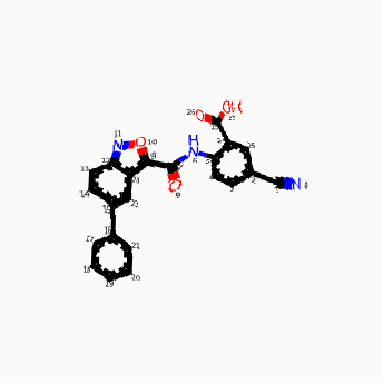 N#Cc1ccc(NC(=O)c2onc3ccc(-c4ccccc4)cc23)c(C(=O)O)c1